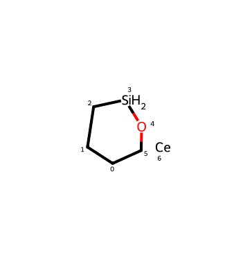 C1CC[SiH2]OC1.[Ce]